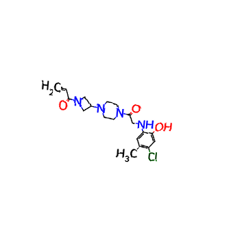 C=CC(=O)N1CC(N2CCN(C(=O)CNc3cc(C)c(Cl)cc3O)CC2)C1